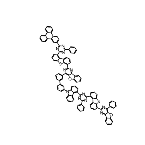 c1ccc(-c2nc(-c3ccc4c5ccccc5c5ccccc5c4c3)nc(-c3cccc4sc5c(-c6nc(-c7cccc(-c8cccc(-n9c%10ccccc%10c%10c(-c%11nc(-c%12ccccc%12)nc(-c%12cccc%13sc%14c(-c%15nc(-c%16ccccc%16)c%16oc%17ccccc%17c%16n%15)cccc%14c%12%13)n%11)cccc%109)c8)c7)c7oc8ccccc8c7n6)cccc5c34)n2)cc1